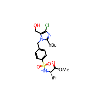 CCCCc1nc(Cl)c(CO)n1Cc1ccc(S(=O)(=O)N[C@H](C(=O)OC)C(C)C)cc1